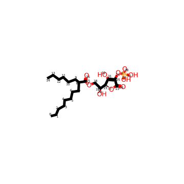 CCCCCCCCC(CCCCCC)C(=O)OC[C@H](O)[C@H]1OC(=O)C(OP(=O)(O)O)=C1O